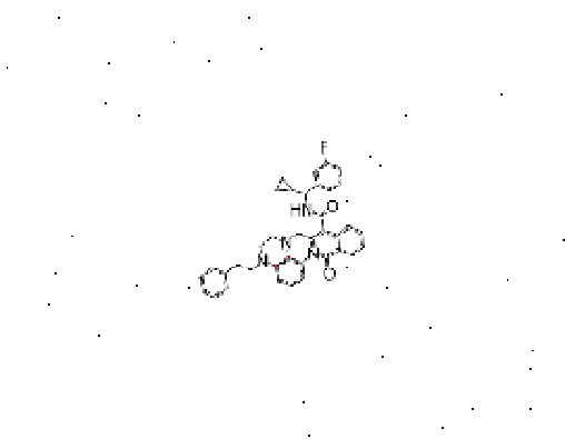 O=C(NC(c1cccc(F)c1)C1CC1)c1c(CN2CCN(CCc3ccccc3)CC2)n(-c2ccccc2)c(=O)c2ccccc12